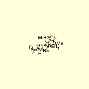 COc1cccc(OC)c1-c1cc2cc(NC(=O)[C@@H]3C[C@@H]3F)ncc2n1C